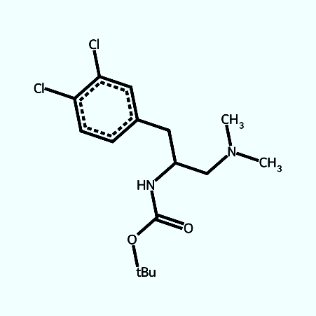 CN(C)CC(Cc1ccc(Cl)c(Cl)c1)NC(=O)OC(C)(C)C